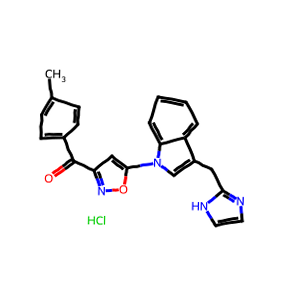 Cc1ccc(C(=O)c2cc(-n3cc(Cc4ncc[nH]4)c4ccccc43)on2)cc1.Cl